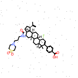 C=C(C)[C@@H]1CC[C@]2(C(=O)NCCCN3CCS(=O)(=O)CC3)CC[C@]3(C)[C@H](CC[C@@H]4[C@@]5(C)[C@H](F)C=C(c6ccc(C(=O)O)cc6)C(C)(C)[C@@H]5CC[C@]43C)[C@@H]12